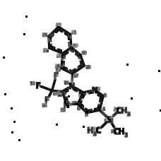 C[Si](C)(C)c1cnc2c(c1)nc(C(F)(F)F)n2-c1ccc2ccccc2c1